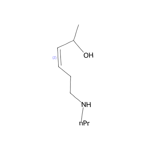 CCCNCC/C=C\C(C)O